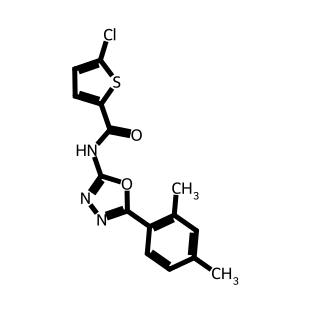 Cc1ccc(-c2nnc(NC(=O)c3ccc(Cl)s3)o2)c(C)c1